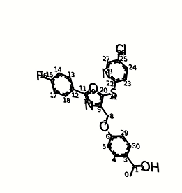 CC(O)c1ccc(OCc2nc(-c3ccc(F)cc3)oc2Sc2ccc(Cl)cn2)cc1